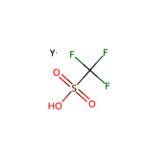 O=S(=O)(O)C(F)(F)F.[Y]